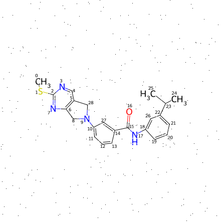 CSc1ncc2c(n1)CN(c1cccc(C(=O)Nc3cccc(C(C)C)c3)c1)C2